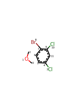 COC.Clc1ccc(Br)c(Cl)c1